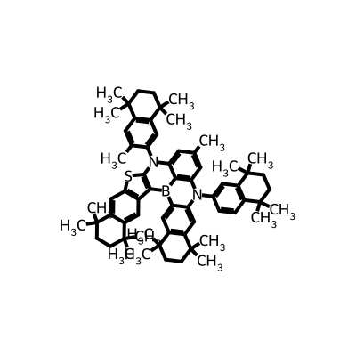 Cc1cc2c3c(c1)N(c1cc4c(cc1C)C(C)(C)CCC4(C)C)c1sc4cc5c(cc4c1B3c1cc3c(cc1N2c1ccc2c(c1)C(C)(C)CCC2(C)C)C(C)(C)CCC3(C)C)C(C)(C)CCC5(C)C